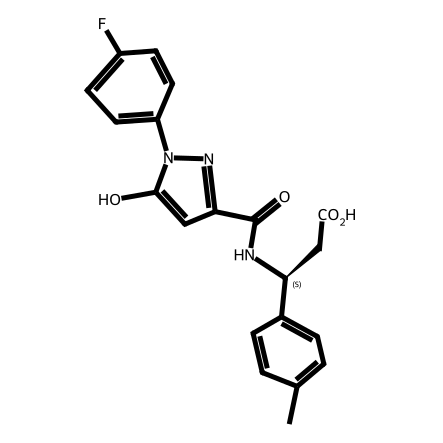 Cc1ccc([C@H](CC(=O)O)NC(=O)c2cc(O)n(-c3ccc(F)cc3)n2)cc1